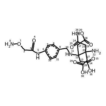 NOCC(=O)Nc1ccc(CNC(CC(=O)O)(CC(=O)O)C(N)(CC(=O)O)CC(=O)O)cc1